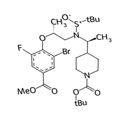 COC(=O)c1cc(F)c(O[C@H](C)CN([C@@H](C)C2CCN(C(=O)OC(C)(C)C)CC2)[S+]([O-])C(C)(C)C)c(Br)c1